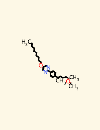 CCCCCCCCCCOc1cnc(-c2ccc(C(C)CCCC(C)OCC)cc2)nc1